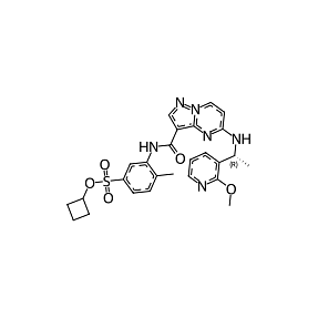 COc1ncccc1[C@@H](C)Nc1ccn2ncc(C(=O)Nc3cc(S(=O)(=O)OC4CCC4)ccc3C)c2n1